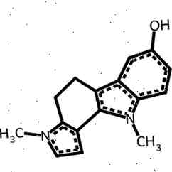 Cn1ccc2c1CCc1c-2n(C)c2ccc(O)cc12